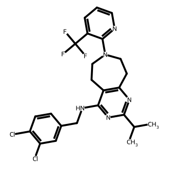 CC(C)c1nc2c(c(NCc3ccc(Cl)c(Cl)c3)n1)CCN(c1ncccc1C(F)(F)F)CC2